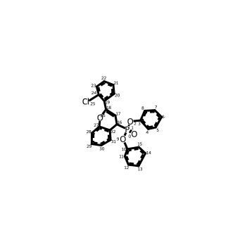 O=P(Oc1ccccc1)(Oc1ccccc1)C1C=C(c2ccccc2Cl)Oc2ccccc21